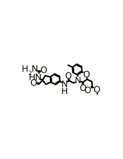 COC(=O)CC1Oc2ccc(C)cc2N(CC(=O)Nc2ccc3c(c2)CC(C=O)(NC(N)=O)C3)C1=O